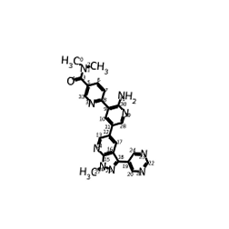 CN(C)C(=O)c1ccc(-c2cc(-c3cnc4c(c3)c(-c3cncnc3)nn4C)cnc2N)nc1